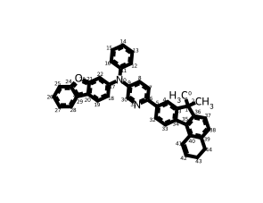 CC1(C)c2cc(-c3ccc(N(c4ccccc4)c4ccc5c(c4)oc4ccccc45)cn3)ccc2-c2c1ccc1c2C=CCC1